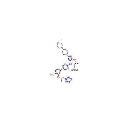 COCCC(C)Oc1nn(C2CCC(N3C[C@@H](C)O[C@@H](C)C3)CC2)cc1Nc1ncc(-c2ccc(C#N)c(OC(C)Cn3cncn3)c2)cn1